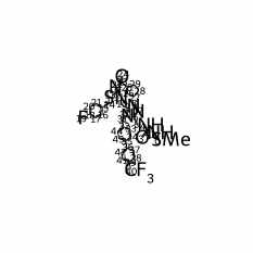 CSNC(=O)NCc1nnc(Cn2c(SCc3ccc(F)cc3)nc(=O)c3c2CCC3)n1Cc1ccc(-c2ccc(C(F)(F)F)cc2)cc1